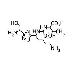 CC(O)C(NC(=O)N[C@@H](CCCCN)c1nc([C@@H](N)CO)no1)C(=O)O